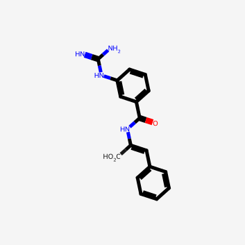 N=C(N)Nc1cccc(C(=O)NC(=Cc2ccccc2)C(=O)O)c1